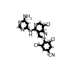 N#Cc1cc(Cl)c(-n2cc3c(Nc4cc(N)ncn4)ncc(Cl)c3n2)c(Cl)c1